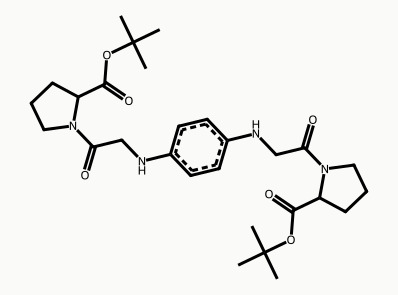 CC(C)(C)OC(=O)C1CCCN1C(=O)CNc1ccc(NCC(=O)N2CCCC2C(=O)OC(C)(C)C)cc1